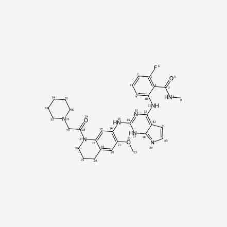 CNC(=O)c1c(F)cccc1Nc1nc(Nc2cc3c(cc2OC)CCCN3C(=O)CN2CCCCC2)[nH]c2nccc1-2